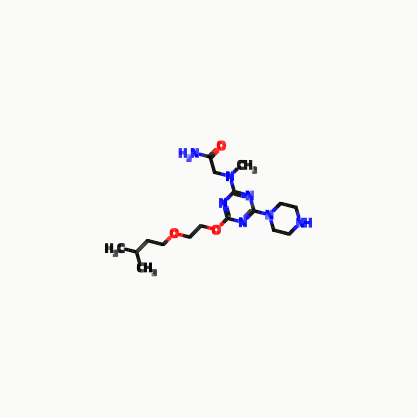 CC(C)CCOCCOc1nc(N(C)CC(N)=O)nc(N2CCNCC2)n1